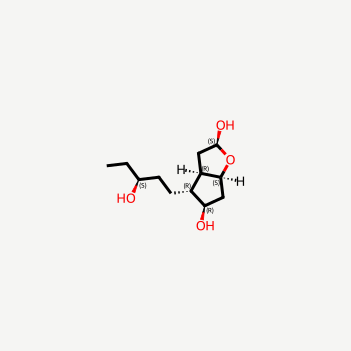 CC[C@H](O)CC[C@@H]1[C@H]2C[C@@H](O)O[C@H]2C[C@H]1O